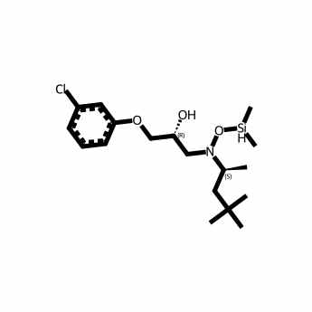 C[C@@H](CC(C)(C)C)N(C[C@@H](O)COc1cccc(Cl)c1)O[SiH](C)C